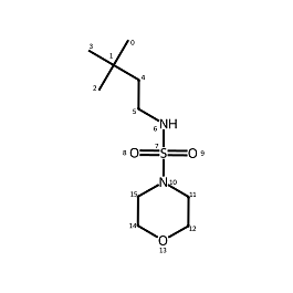 CC(C)(C)CCNS(=O)(=O)N1CCOCC1